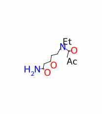 CCN(CCCC(=O)CC(N)=O)C(=O)CC(C)=O